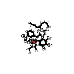 CCCCC1CCCCO[C@H](CN(C(=O)C(SP(=O)(CCC)OCCC)c2cccc([N+](=O)[O-])c2[N+](=O)[O-])c2c(Br)cc(Br)c(Br)c2Br)O1